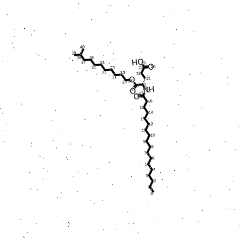 CCCCCCCCCCCCCCCCCC(=O)N[C@@H](CCC(=O)O)C(=O)OCCCCCCCCCC(C)C